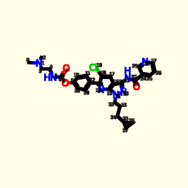 CN(C)CCNC(=O)Oc1ccc(-c2nc3c(cc2Cl)c(NC(=O)c2cccnc2)nn3CCCC2CC2)cc1